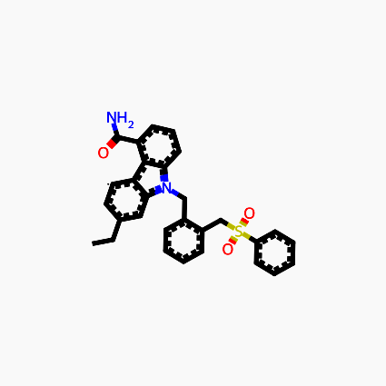 CCc1c[c]c2c3c(C(N)=O)cccc3n(Cc3ccccc3CS(=O)(=O)c3ccccc3)c2c1